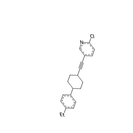 CCc1ccc(C2CCC(C#Cc3ccc(Cl)nc3)CC2)cc1